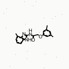 Cc1cc(C)cc(OCC(=O)Nc2nc3c(C)cccc3[nH]2)c1